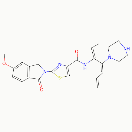 C=C/C=C(\C(=C/C)NC(=O)c1csc(N2Cc3cc(OC)ccc3C2=O)n1)N1CCNCC1